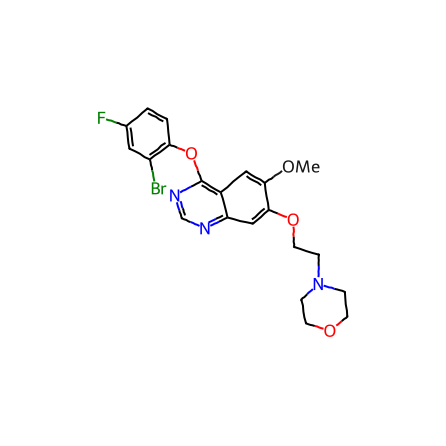 COc1cc2c(Oc3ccc(F)cc3Br)ncnc2cc1OCCN1CCOCC1